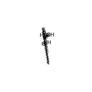 CCCCCCCCCCCCCCCCCC(=O)NCCCN(CCCOCCCC)CC(O)CO